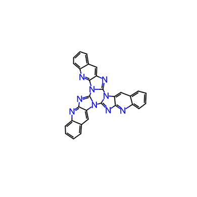 c1ccc2nc3nc4n(c3cc2c1)c1nc2cc3ccccc3nc2n1c1nc2nc3ccccc3cc2n41